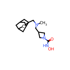 CN(CC1CN(C(=O)NO)C1)CC12CC3CC(CC1C3)C2